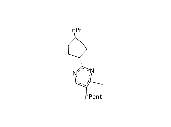 CCCCCc1cnc([C@H]2CC[C@H](CCC)CC2)nc1C